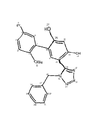 COc1ccc(C(C)C)cc1-c1cc(-c2nnnn2Cc2ccccc2)c(O)cc1O